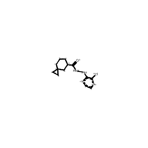 O=C(NNc1nccnc1Cl)C1CCCC2(CC2)C1